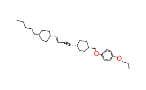 CCCCC[C@H]1CC[C@H](C=CC#C[C@H]2CC[C@H](COc3ccc(OCCC)cc3)CC2)CC1